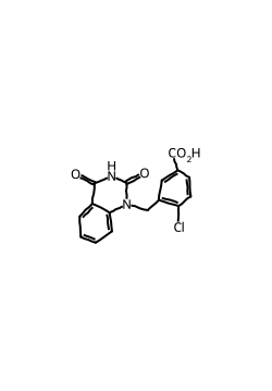 O=C(O)c1ccc(Cl)c(Cn2c(=O)[nH]c(=O)c3ccccc32)c1